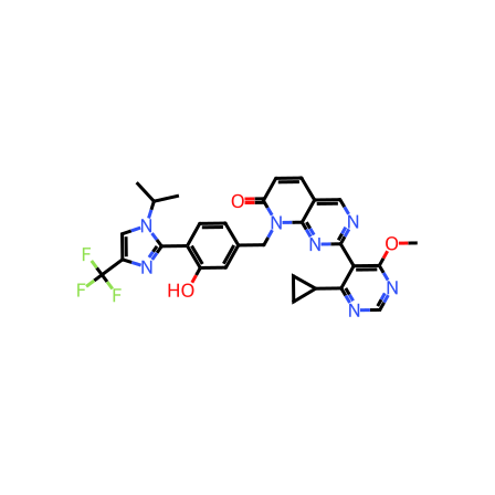 COc1ncnc(C2CC2)c1-c1ncc2ccc(=O)n(Cc3ccc(-c4nc(C(F)(F)F)cn4C(C)C)c(O)c3)c2n1